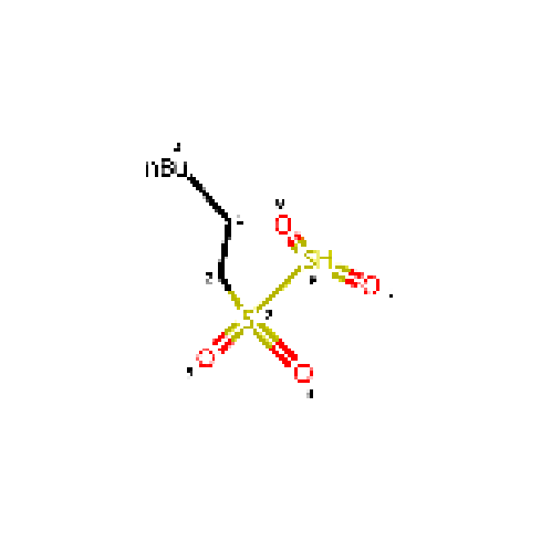 CCCCCCS(=O)(=O)[SH](=O)=O